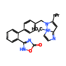 CCCC1=CC2=NC=C[N+]2(C(=O)O)N1Cc1ccc(-c2ccccc2-c2nc(=O)o[nH]2)cc1